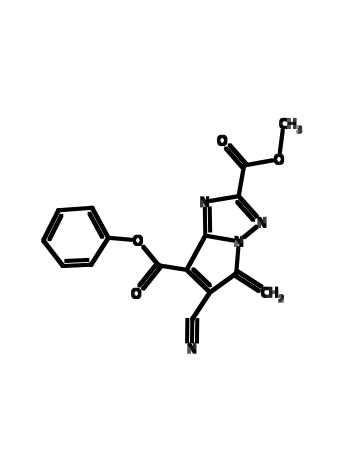 C=c1c(C#N)c(C(=O)Oc2ccccc2)c2nc(C(=O)OC)nn12